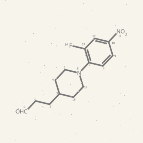 O=CCCC1CCN(c2ccc([N+](=O)[O-])cc2F)CC1